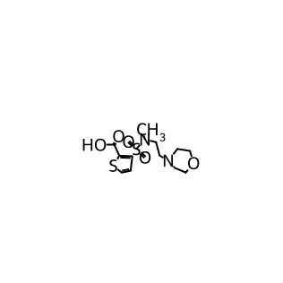 CN(CCN1CCOCC1)S(=O)(=O)c1ccsc1C(=O)O